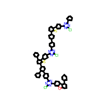 Clc1nc(-c2ccc(-c3ccc(-c4ccc(-c5ccccc5)c5c4sc4cc(-c6nc(Cl)nc(-c7ccc(-c8ccc(-c9cccc%10c9sc9cc(-c%11nc(Cl)nc(-c%12ccccc%12)n%11)ccc9%10)cc8)cc7)n6)ccc45)cc3-c3ccccc3)cc2)nc(-c2ccc3c(c2)oc2cccc(-c4ccccc4)c23)n1